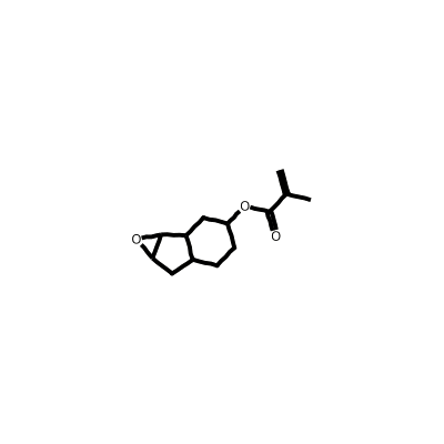 C=C(C)C(=O)OC1CCC2CC3OC3C2C1